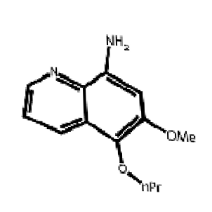 CCCOc1c(OC)cc(N)c2ncccc12